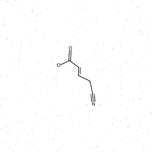 N#CC/C=C/C(=O)Cl